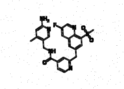 Cc1cc(N)ncc1CNC(=O)c1ccnc(Cc2cc(S(C)(=O)=O)c3ncc(F)cc3c2)c1